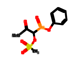 COC(=O)C(OS(C)(=O)=O)[PH](=O)Oc1ccccc1